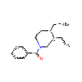 C=C[C@H]1CN(C(=O)c2ccccc2)CCC1CC=O